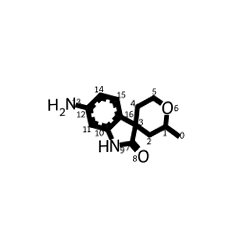 CC1CC2(CCO1)C(=O)Nc1cc(N)ccc12